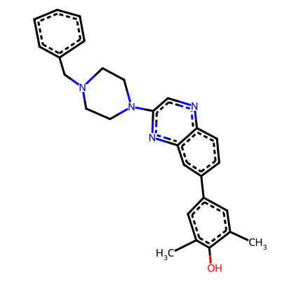 Cc1cc(-c2ccc3ncc(N4CCN(Cc5ccccc5)CC4)nc3c2)cc(C)c1O